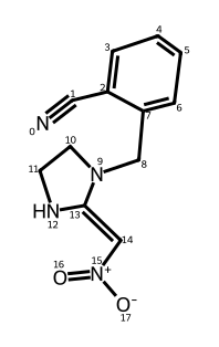 N#Cc1ccccc1CN1CCNC1=C[N+](=O)[O-]